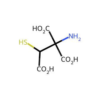 NC(C(=O)O)(C(=O)O)C(S)C(=O)O